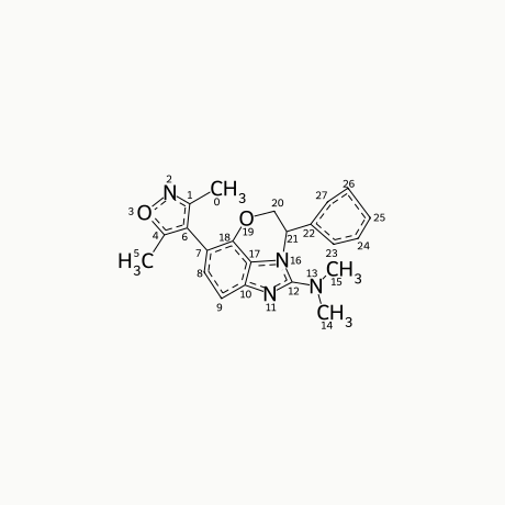 Cc1noc(C)c1-c1ccc2nc(N(C)C)n3c2c1OCC3c1ccccc1